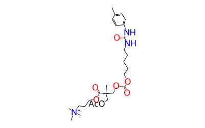 CC(=O)OCC(C)(COC(=O)OCCCCCNC(=O)Nc1ccc(C)cc1)C(=O)OCCC[N+](C)(C)C